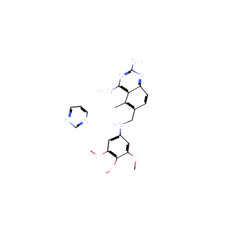 COc1cc(NCc2ccc3nc(N)nc(N)c3c2C)cc(OC)c1OC.c1cncnc1